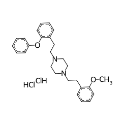 COc1ccccc1CCN1CCN(CCc2ccccc2Oc2ccccc2)CC1.Cl.Cl